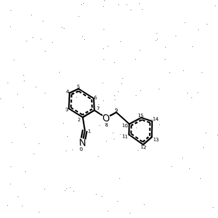 N#Cc1c[c]ccc1OCc1ccccc1